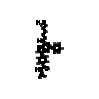 NCCCCCNc1nc(-c2ccccc2)cn2c(-c3ccc(C(=O)NC4CC4)cc3)cnc12